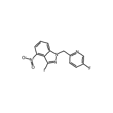 O=[N+]([O-])c1cccc2c1c(I)nn2Cc1ccc(F)cn1